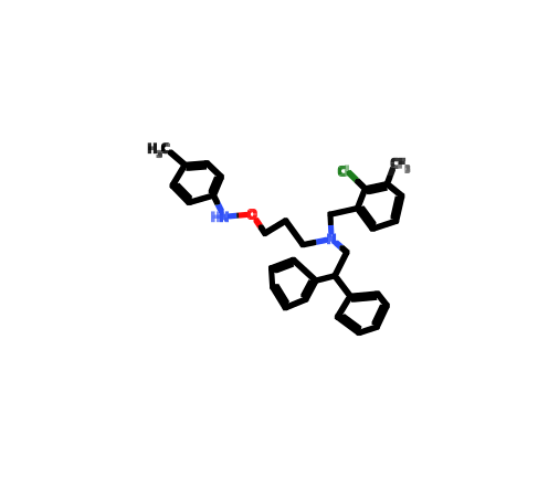 Cc1ccc(NOCCCN(Cc2cccc(C(F)(F)F)c2Cl)CC(c2ccccc2)c2ccccc2)cc1